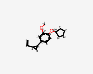 C=CC1CC1c1ccc(OC2CCCC2)c(OC)c1